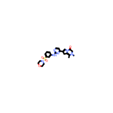 CC1=C2CC(c3ccnc(Nc4cccc(S(=O)(=O)N5CCOCC5)c4)n3)=CN2C(=O)CN1C